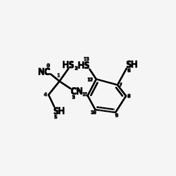 N#CC(S)(C#N)CS.Sc1ccccc1S